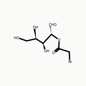 O=C[C@H](OC(=O)CBr)[C@@H](O)[C@H](O)CO